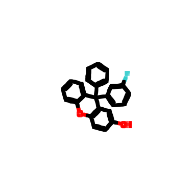 Oc1ccc2c(c1)C(c1ccccc1)(c1cccc(F)c1)c1ccccc1O2